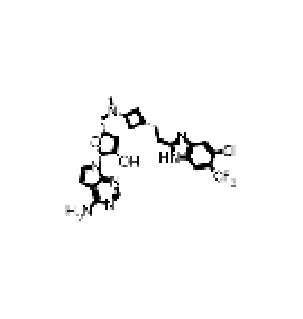 CN(C[C@@H]1C[C@@H](O)[C@H](n2ccc3c(N)ncnc32)O1)[C@H]1C[C@@H](CCc2nc3cc(Cl)c(C(F)(F)F)cc3[nH]2)C1